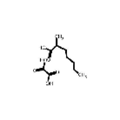 CCCCCC(C)C(=O)O.O=C(O)C(=O)O